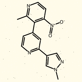 Cc1nccc([N+](=O)[O-])c1-c1ccnc(-c2cnn(C)c2)c1